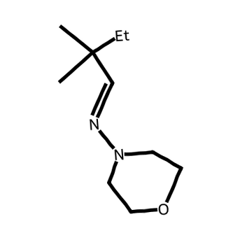 CCC(C)(C)/C=N/N1CCOCC1